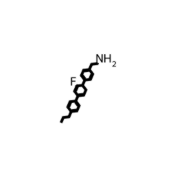 CCCc1ccc(C2=CCC(c3ccc(CCN)cc3)C(F)=C2)cc1